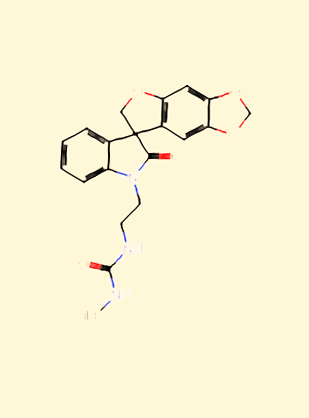 CC(C)NC(=O)NCCN1C(=O)C2(COc3cc4c(cc32)OCO4)c2ccccc21